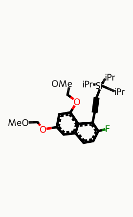 COCOc1cc(OCOC)c2c(C#C[Si](C(C)C)(C(C)C)C(C)C)c(F)ccc2c1